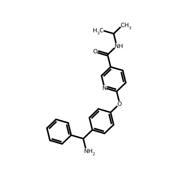 CC(C)NC(=O)c1ccc(Oc2ccc(C(N)c3ccccc3)cc2)nc1